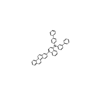 c1ccc(-c2ccc(N(c3cccc(-c4ccccc4)c3)c3ccc(-c4ccc5c(ccc6c7ccccc7ccc56)c4)c4ccccc34)cc2)cc1